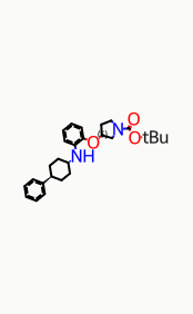 CC(C)(C)OC(=O)N1CC[C@H](Oc2ccccc2N[C@H]2CC[C@H](c3ccccc3)CC2)C1